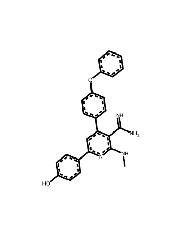 CNc1nc(-c2ccc(O)cc2)cc(-c2ccc(Oc3ccccc3)cc2)c1C(=N)N